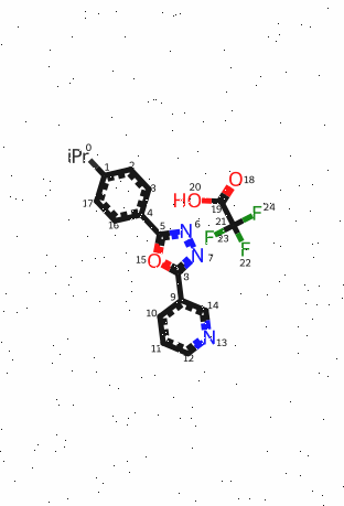 CC(C)c1ccc(-c2nnc(-c3cccnc3)o2)cc1.O=C(O)C(F)(F)F